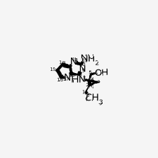 CC[C@@H]1C[C@@]1(CO)Nc1nc(N)nc2cccnc12